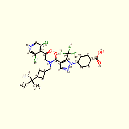 CC(C)(C)C1CC(CN(CC(=O)c2c(Cl)cncc2Cl)C(=O)c2cnn([C@H]3CC[C@H](C(=O)O)CC3)c2C(F)(F)F)C1